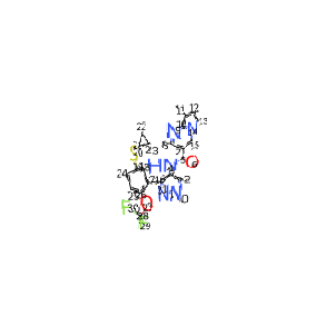 Cn1cc(NC(=O)c2cnc3cccn3c2)c(-c2cc(SC3CC3)ccc2OC(F)F)n1